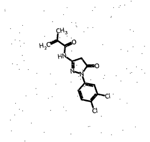 C=C(C)C(=O)NC1=NN(c2ccc(Cl)c(Cl)c2)C(=O)C1